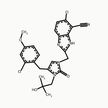 COc1ccc(Cc2cn(Cc3nc4ccc(Cl)c(C#N)c4[nH]3)c(=O)n2CC(C)(C)O)c(Cl)c1